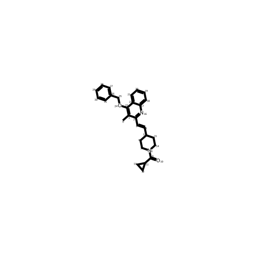 Cc1c(/C=C/C2CCN(C(=O)C3CC3)CC2)nc2ccccc2c1OCc1ccccc1